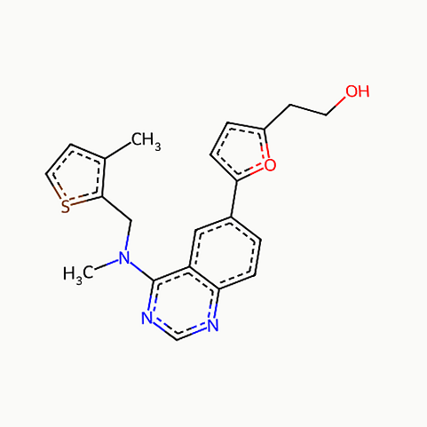 Cc1ccsc1CN(C)c1ncnc2ccc(-c3ccc(CCO)o3)cc12